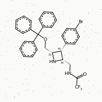 O=C(NC[C@@H]1N[C@H](COC(c2ccccc2)(c2ccccc2)c2ccccc2)[C@@H]1c1ccc(Br)cc1)C(F)(F)F